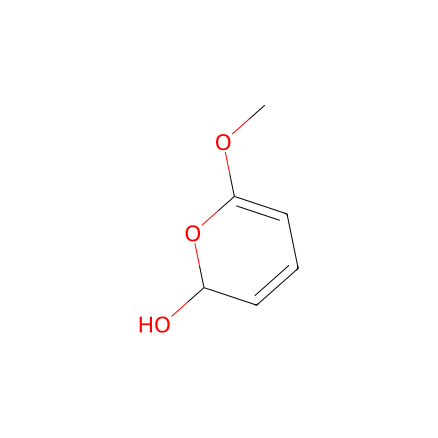 COC1=CC=CC(O)O1